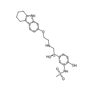 CS(=O)(=O)Nc1cc([C@@H](O)CNCCOc2ccc3c4c([nH]c3c2)CCCC4)ccc1O